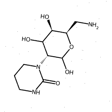 NC[C@H]1OC(O)[C@H](N2CCCNC2=O)C(O)[C@H]1O